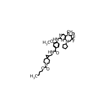 CCCCOC(=O)N1CCC2(CC1)CC2CNC(=O)c1ccc(Nc2ncc3c(n2)N(C2CCCC2)CC(F)(F)C(=O)N3C)c(OC)c1